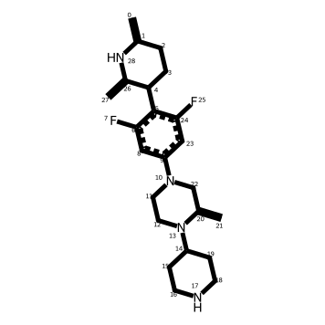 C=C1CCC(c2c(F)cc(N3CCN(C4CCNCC4)C(=C)C3)cc2F)C(=C)N1